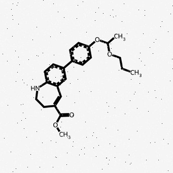 CCCOC(C)Oc1ccc(-c2ccc3c(c2)C=C(C(=O)OC)CCN3)cc1